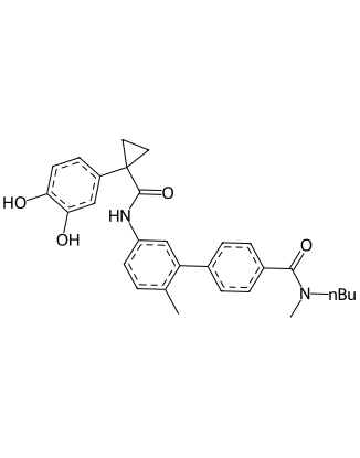 CCCCN(C)C(=O)c1ccc(-c2cc(NC(=O)C3(c4ccc(O)c(O)c4)CC3)ccc2C)cc1